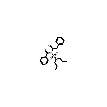 CCCN(CCC)S(=O)(=O)N(C(=O)c1ccccc1)C(Cl)Cc1ccccc1